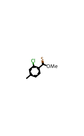 COC(=S)c1ccc(C)cc1Cl